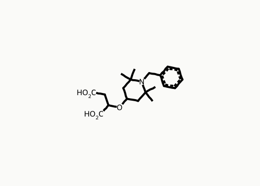 CC1(C)CC(OC(CC(=O)O)C(=O)O)CC(C)(C)N1Cc1ccccc1